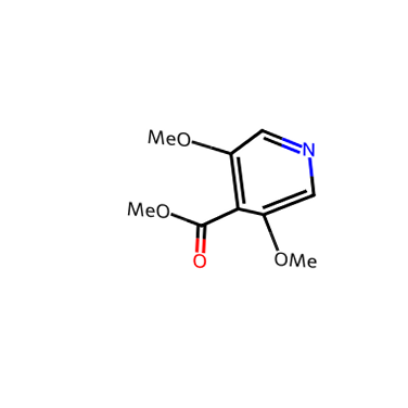 COC(=O)c1c(OC)cncc1OC